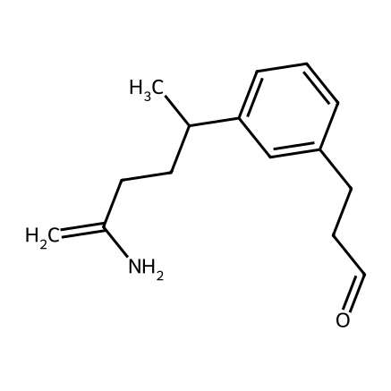 C=C(N)CCC(C)c1cccc(CCC=O)c1